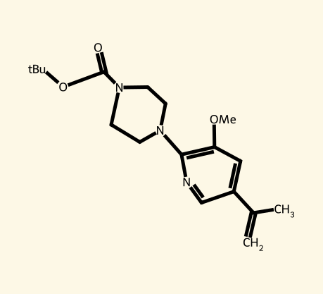 C=C(C)c1cnc(N2CCN(C(=O)OC(C)(C)C)CC2)c(OC)c1